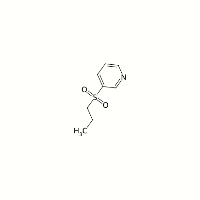 CCCS(=O)(=O)c1cccnc1